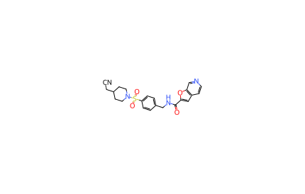 N#CCC1CCN(S(=O)(=O)c2ccc(CNC(=O)c3cc4ccncc4o3)cc2)CC1